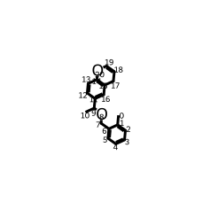 Cc1ccccc1COC(C)c1ccc2c(c1)CC=CO2